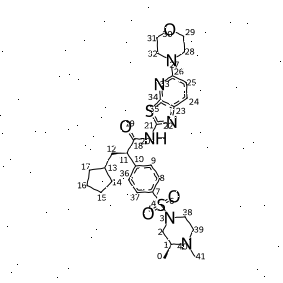 C[C@H]1CN(S(=O)(=O)c2ccc([C@@H](CC3CCCC3)C(=O)Nc3nc4ccc(N5CCOCC5)nc4s3)cc2)CCN1C